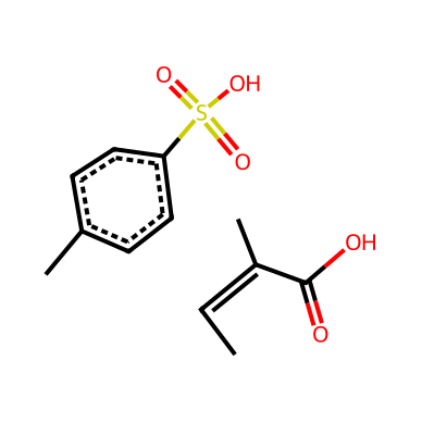 CC=C(C)C(=O)O.Cc1ccc(S(=O)(=O)O)cc1